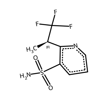 C[C@H](c1ncccc1S(N)(=O)=O)C(F)(F)F